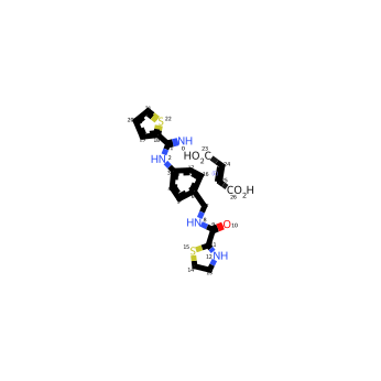 N=C(Nc1ccc(CNC(=O)C2NCCS2)cc1)c1cccs1.O=C(O)/C=C/C(=O)O